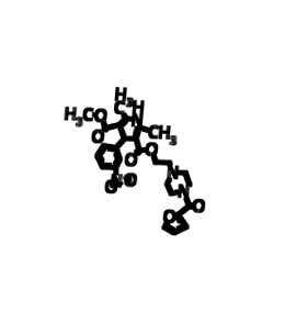 COC(=O)C1=C(C)NC(C)=C(C(=O)OCCN2CCN(C(=O)c3ccco3)CC2)C1c1cccc([N+](=O)[O-])c1